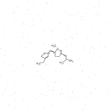 CCC1=C[C@H](O[C@@H]2CC[C@H](OC(C)C)O[C@H]2C)OC1